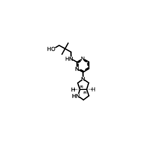 CC(C)(CO)CNc1nccc(N2C[C@H]3CCN[C@H]3C2)n1